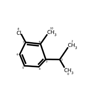 C[C](C)c1cccc(Cl)c1C